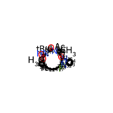 CC(=O)[C@@H]1[C@H](C)[C@@H]2CN1C(=O)[C@H](C(C)(C)C)NC(=O)O[C@]1(C)CCC[C@H]1CCCCCC(F)(F)c1nc3ccccc3nc1O2